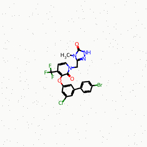 Cn1c(Cn2ccc(C(F)(F)F)c(Oc3cc(Cl)cc(-c4ccc(Br)cc4)c3)c2=O)n[nH]c1=O